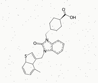 CC1=CC=CC2SC=C(Cn3c(=O)n(C[C@H]4CC[C@H](C(=O)O)CC4)c4ccccc43)C12